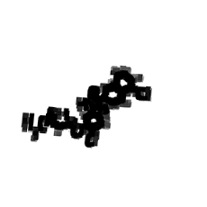 CN(C)CCOc1cc(NS(=O)(=O)c2ccc3c(Cl)cccc3c2)ccc1Cl